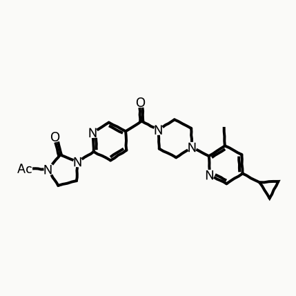 CC(=O)N1CCN(c2ccc(C(=O)N3CCN(c4ncc(C5CC5)cc4C)CC3)cn2)C1=O